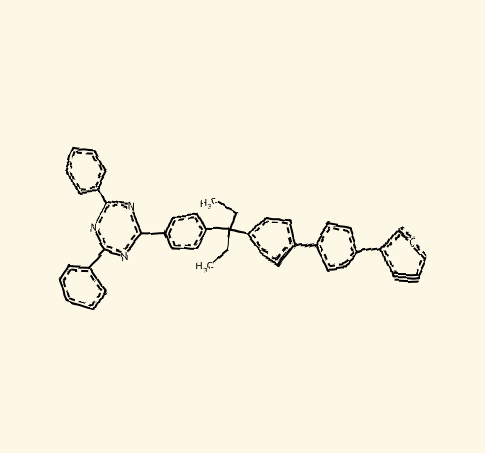 CCC(CC)(c1ccc(-c2ccc(-c3c#cccc3)cc2)cc1)c1ccc(-c2nc(-c3ccccc3)nc(-c3ccccc3)n2)cc1